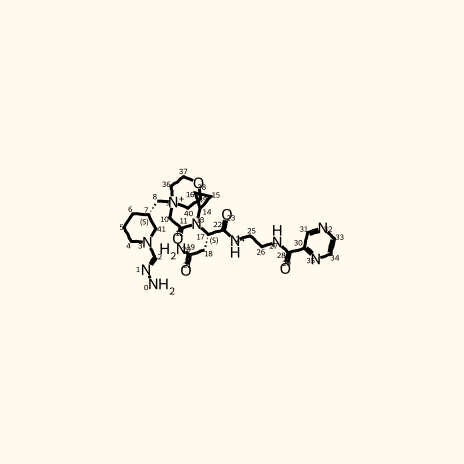 NN=CN1CCC[C@H](C[N+]2(CC(=O)N(C3CC3)[C@@H](CC(N)=O)C(=O)NCCNC(=O)c3cnccn3)CCOCC2)C1